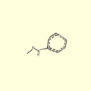 C[N]Nc1ccccc1